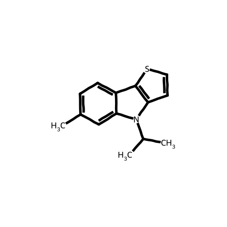 Cc1ccc2c3sccc3n(C(C)C)c2c1